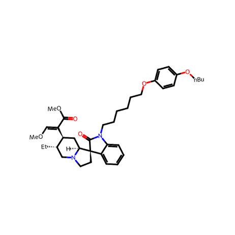 CCCCOc1ccc(OCCCCCCN2C(=O)[C@]3(CCN4C[C@H](CC)[C@@H](/C(=C\OC)C(=O)OC)C[C@H]43)c3ccccc32)cc1